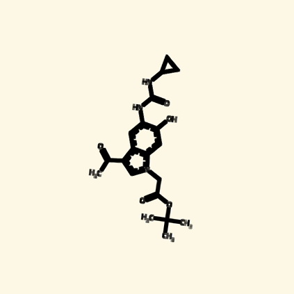 CC(=O)c1cn(CC(=O)OC(C)(C)C)c2cc(O)c(NC(=O)NC3CC3)cc12